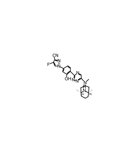 CN(c1cnc(-c2ccc(-n3cc(F)c(C#N)n3)cc2O)nn1)[C@H]1C[C@]2(C)CCC[C@](C)(C1)N2